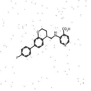 O=C(O)c1ccncc1NC[C@@H]1CCOc2cc(-c3ccc(F)cc3)ccc21